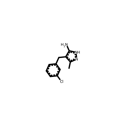 Cc1n[nH]c(N)c1Cc1cccc(Cl)c1